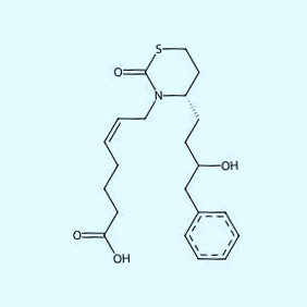 O=C(O)CCC/C=C\CN1C(=O)SCC[C@@H]1CCC(O)Cc1ccccc1